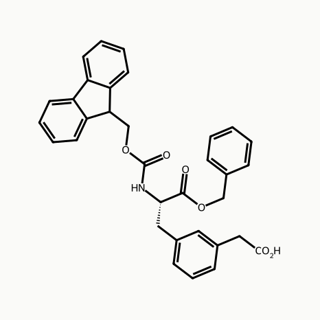 O=C(O)Cc1cccc(C[C@H](NC(=O)OCC2c3ccccc3-c3ccccc32)C(=O)OCc2ccccc2)c1